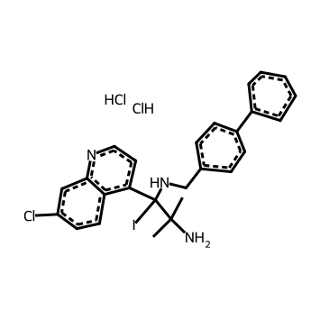 CC(C)(N)C(I)(NCc1ccc(-c2ccccc2)cc1)c1ccnc2cc(Cl)ccc12.Cl.Cl